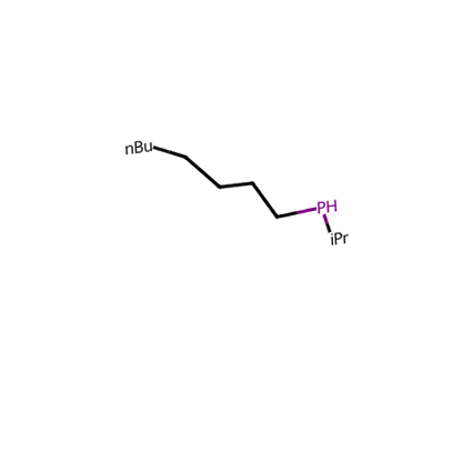 CCCCCCCCPC(C)C